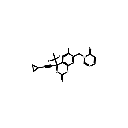 CC(F)(F)[C@@]1(C#CC2CC2)OC(=O)Nc2cc(Cn3cnccc3=O)c(Cl)cc21